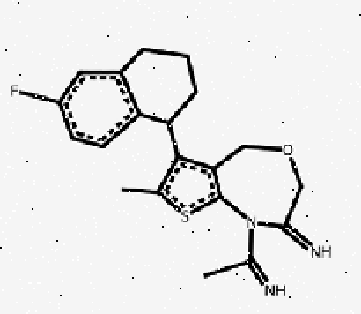 CC(=N)N1C(=N)COCc2c1sc(C)c2C1CCCc2cc(F)ccc21